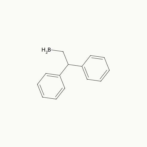 BCC(c1ccccc1)c1ccccc1